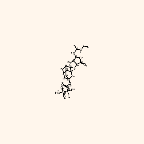 CCOC(C)OC1OC(=O)C2SC3(SC12)C1CC2CC3CC(OC(=O)C(F)(F)S(=O)(=O)O)(C2)C1